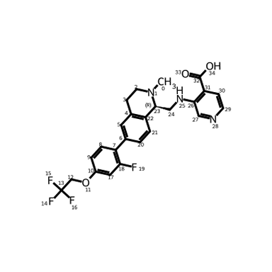 CN1CCc2cc(-c3ccc(OCC(F)(F)F)cc3F)ccc2[C@@H]1CNc1cnccc1C(=O)O